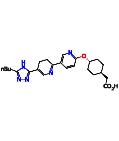 CCCCc1nnc(C2=CN=C(c3ccc(O[C@H]4CC[C@H](CC(=O)O)CC4)nc3)CC2)[nH]1